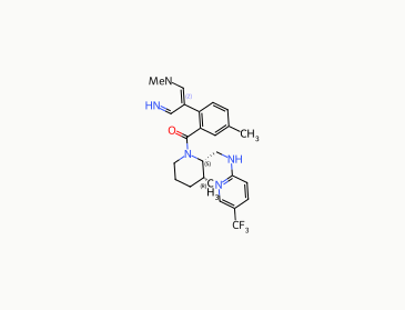 CN/C=C(\C=N)c1ccc(C)cc1C(=O)N1CCC[C@@H](C)[C@H]1CNc1ccc(C(F)(F)F)cn1